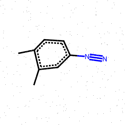 Cc1ccc([N+]#N)cc1C